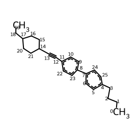 CCCCc1ccc(-c2ccc(C#CC3CCC(CC)CC3)cc2)cc1